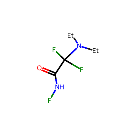 CCN(CC)C(F)(F)C(=O)NF